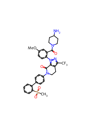 COc1ccc(-n2nc(C(F)(F)F)c3c2C(=O)N(c2ccc(-c4ccccc4S(C)(=O)=O)cc2)CC3)c(C(=O)N2CCC(N)CC2)c1